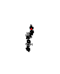 O=C(NC1CCC(N2CCC(NC(=O)c3cc4ccc(-c5ccc(F)cc5)cc4[nH]3)C2)CC1)OCc1ccccc1